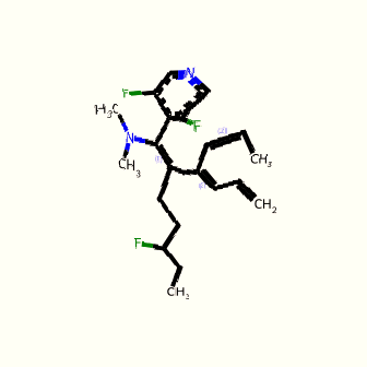 C=C/C=C(\C=C/C)C(/CCC(F)CC)=C(\c1c(F)cncc1F)N(C)C